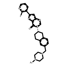 CC(=O)N1CCN(Cc2ccc3c(c2)CC[C@H](n2cnc4cc(-c5cccnc5F)sc4c2=O)C3)CC1